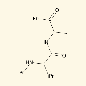 CCC(=O)C(C)NC(=O)C(NC(C)C)C(C)C